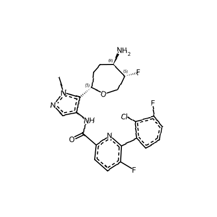 Cn1ncc(NC(=O)c2ccc(F)c(-c3cccc(F)c3Cl)n2)c1[C@@H]1CC[C@@H](N)[C@H](F)CO1